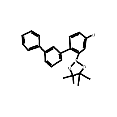 CC1(C)OB(c2cc(Cl)ccc2-c2cccc(-c3ccccc3)c2)OC1(C)C